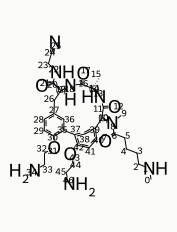 CNCCCCC(=O)N(C)[C@@H]1C(=O)N[C@@H](C)C(=O)N[C@H](C(=O)NCC#N)Cc2ccc(OCCN)c(c2)-c2cc1ccc2OCCN